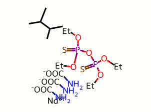 CC(C)C(C)C.CCOP(=S)(OCC)OP(=S)(OCC)OCC.NC(=O)[O-].NC(=O)[O-].NC(=O)[O-].[Nd+3]